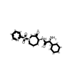 N[C@H](C(=O)N[C@H]1CCCN(S(=O)(=O)c2ccccn2)CC1=O)C1CCCCC1